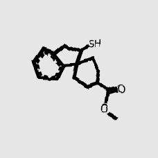 COC(=O)C1CCC2(CC1)c1ccccc1CC2S